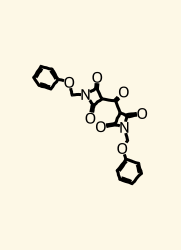 O=C(C1C(=O)N(COc2ccccc2)C1=O)C1C(=O)N(COc2ccccc2)C1=O